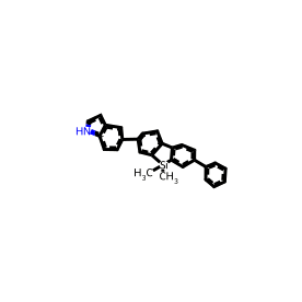 C[Si]1(C)c2cc(-c3ccccc3)ccc2-c2ccc(-c3ccc4[nH]ccc4c3)cc21